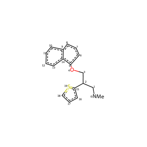 CNCC(COc1cccc2ccccc12)c1cccs1